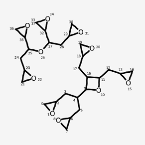 C1OC1CC(CC1CO1)C1OC(CC2CO2)C1CC1CO1.C1OC1CC(OC(CC1CO1)C1CO1)C1CO1